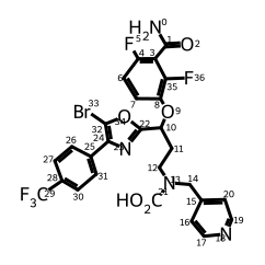 NC(=O)c1c(F)ccc(OC(CCN(Cc2ccncc2)C(=O)O)c2nc(-c3ccc(C(F)(F)F)cc3)c(Br)o2)c1F